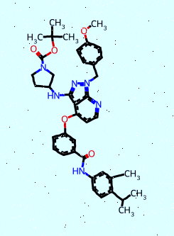 COc1ccc(Cn2nc(NC3CCN(C(=O)OC(C)(C)C)C3)c3c(Oc4cccc(C(=O)Nc5ccc(C(C)C)c(C)c5)c4)ccnc32)cc1